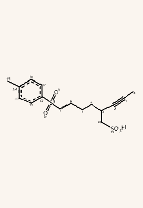 CC#CC(CCCCS(=O)(=O)c1ccc(C)cc1)CS(=O)(=O)O